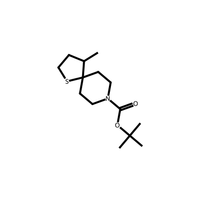 CC1CCSC12CCN(C(=O)OC(C)(C)C)CC2